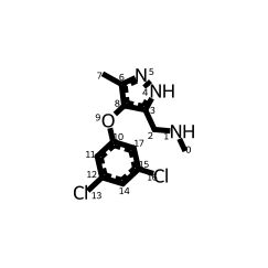 CNCc1[nH]nc(C)c1Oc1cc(Cl)cc(Cl)c1